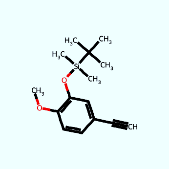 C#Cc1ccc(OC)c(O[Si](C)(C)C(C)(C)C)c1